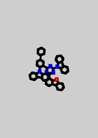 c1ccc(-c2ccc(-n3c4ccccc4c4ccccc43)c(-c3nc(-c4cccc5c4oc4ccccc45)nc(-n4c5ccccc5c5ccccc54)n3)c2)cc1